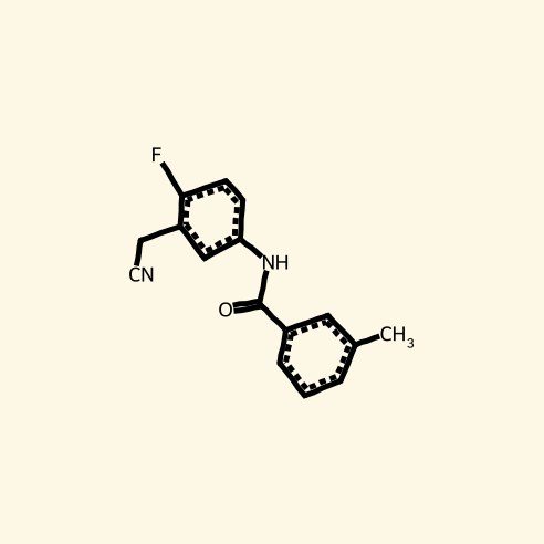 Cc1cccc(C(=O)Nc2ccc(F)c(CC#N)c2)c1